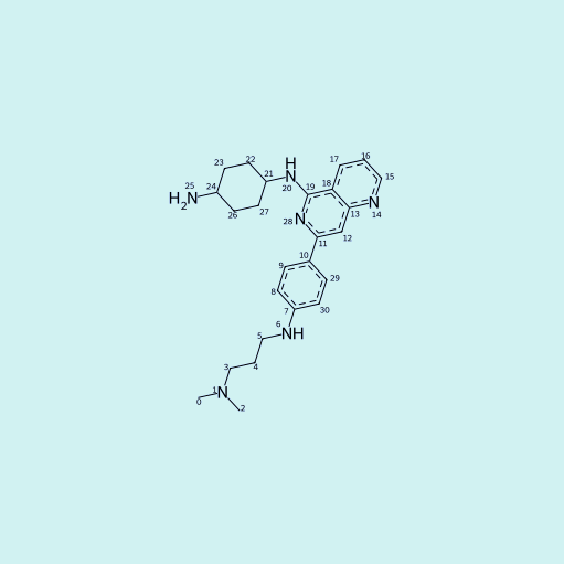 CN(C)CCCNc1ccc(-c2cc3ncccc3c(NC3CCC(N)CC3)n2)cc1